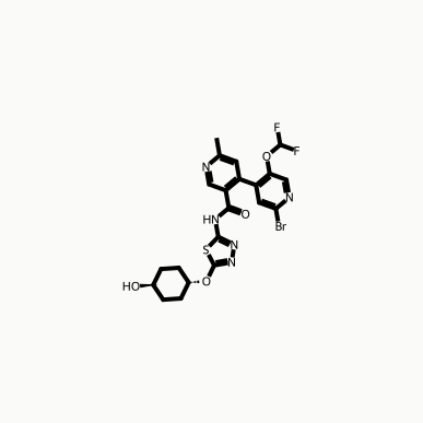 Cc1cc(-c2cc(Br)ncc2OC(F)F)c(C(=O)Nc2nnc(O[C@H]3CC[C@H](O)CC3)s2)cn1